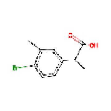 Cc1cc(C(C)C(=O)O)ccc1Br